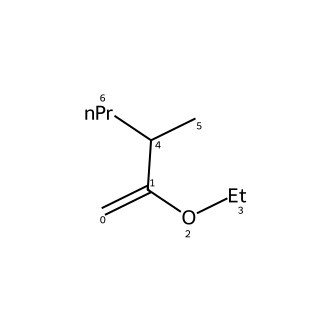 C=C(OCC)C(C)CCC